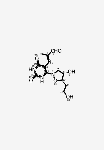 C/C(C=O)=N\c1c(N2C[C@H](O)[C@@H](CCO)O2)[nH]c(=O)[nH]c1=O